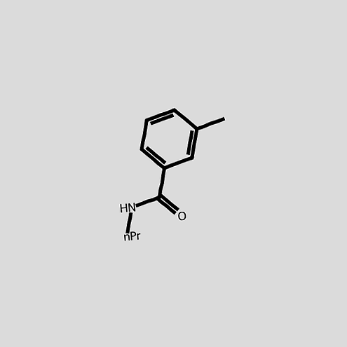 CCCNC(=O)c1cccc(C)c1